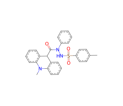 Cc1ccc(S(=O)(=O)NN(C(=O)C2c3ccccc3N(C)c3ccccc32)c2ccccc2)cc1